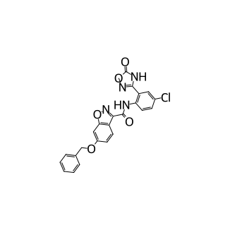 O=C(Nc1ccc(Cl)cc1-c1noc(=O)[nH]1)c1noc2cc(OCc3ccccc3)ccc12